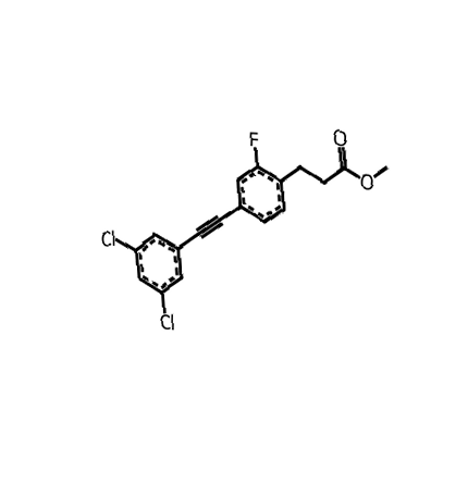 COC(=O)CCc1ccc(C#Cc2cc(Cl)cc(Cl)c2)cc1F